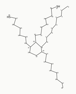 CCCCCCCCCC1C(CCCCCCCC)CCC(CCCCCCS)C1CCCCCCCS